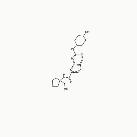 O=C(NC1(CO)CCCC1)c1ccc2cnc(NC3CCC(O)CC3)nc2c1